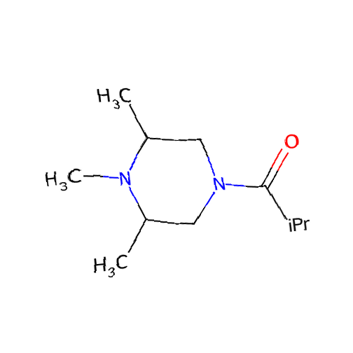 CC(C)C(=O)N1CC(C)N(C)C(C)C1